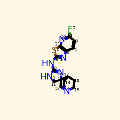 Fc1ccc2nc(NC3=NC4(CN3)CN3CCC4CC3)sc2n1